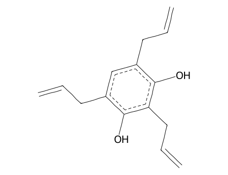 C=CCc1cc(CC=C)c(O)c(CC=C)c1O